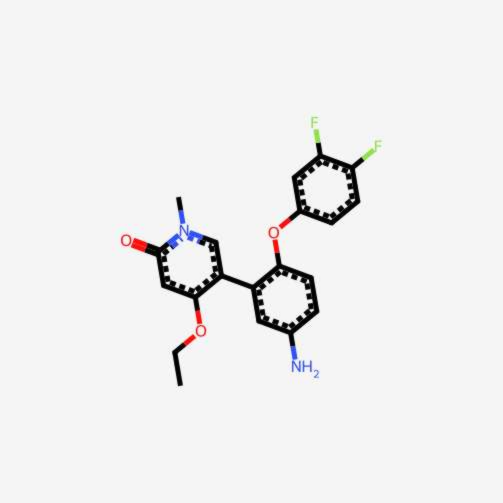 CCOc1cc(=O)n(C)cc1-c1cc(N)ccc1Oc1ccc(F)c(F)c1